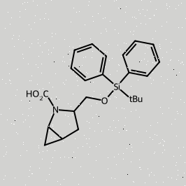 CC(C)(C)[Si](OCC1CC2CC2N1C(=O)O)(c1ccccc1)c1ccccc1